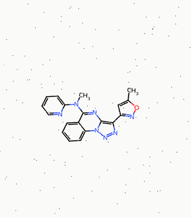 Cc1cc(-c2nnn3c2nc(N(C)c2ccccn2)c2ccccc23)no1